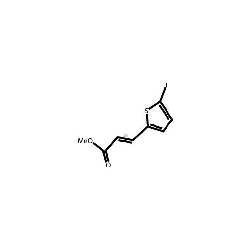 COC(=O)/C=C/c1ccc(I)s1